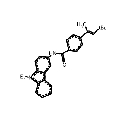 CCn1c2ccccc2c2cc(NC(=O)c3ccc(/C(C)=C/C(C)(C)C)cc3)ccc21